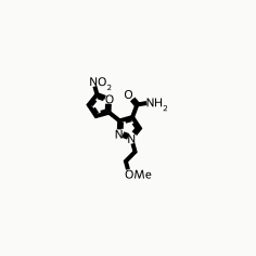 COCCn1cc(C(N)=O)c(-c2ccc([N+](=O)[O-])o2)n1